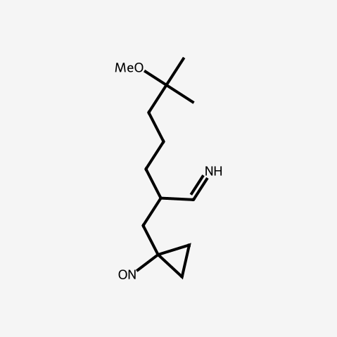 COC(C)(C)CCCC(C=N)CC1(N=O)CC1